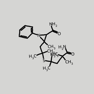 CC(C)(CC(C)(C)C(N)=O)SC(C)(C)CC1(C)C(C(N)=O)N1c1ccccc1